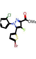 COC(=O)c1nn(-c2ccccc2Cl)c(-c2ccc(Br)s2)c1F